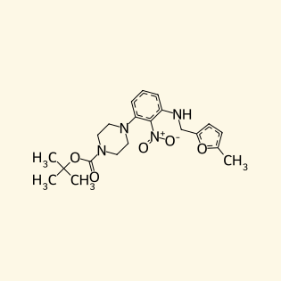 Cc1ccc(CNc2cccc(N3CCN(C(=O)OC(C)(C)C)CC3)c2[N+](=O)[O-])o1